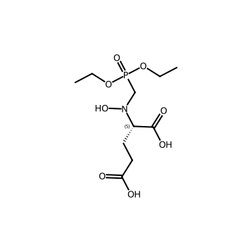 CCOP(=O)(CN(O)[C@@H](CCC(=O)O)C(=O)O)OCC